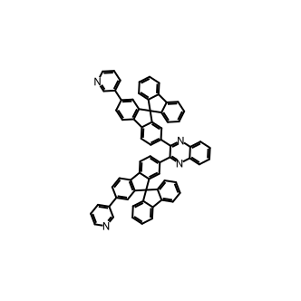 c1cncc(-c2ccc3c(c2)C2(c4ccccc4-c4ccccc42)c2cc(-c4nc5ccccc5nc4-c4ccc5c(c4)C4(c6ccccc6-c6ccccc64)c4cc(-c6cccnc6)ccc4-5)ccc2-3)c1